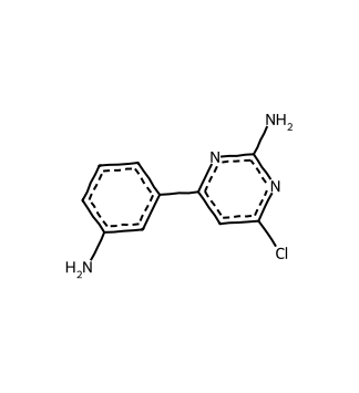 Nc1cccc(-c2cc(Cl)nc(N)n2)c1